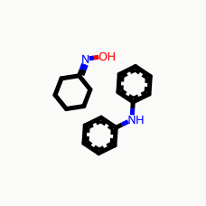 ON=C1CCCCC1.c1ccc(Nc2ccccc2)cc1